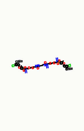 COc1cc(Cl)cc2c1CC[C@H]2Oc1ccc(S(=O)(=O)NCCOCCOCCNC(=O)NCCCCNC(=O)NCCOCCOCCNS(=O)(=O)c2ccc(O[C@@H]3CCc4c(OC)cc(Cl)cc43)c(C)c2)cc1C